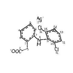 O=C([O-])Cc1ccccc1Nc1c(Cl)cccc1Cl.[Ag+]